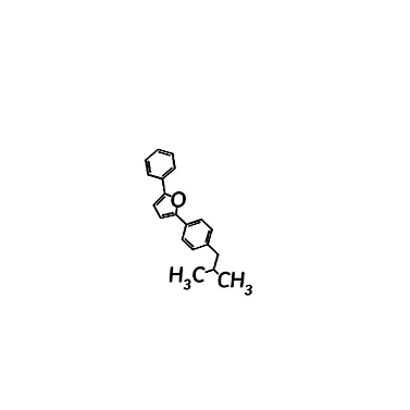 CC(C)Cc1ccc(-c2ccc(-c3ccccc3)o2)cc1